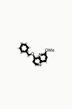 COc1ccc2nccc(OCc3ccccc3)c2n1